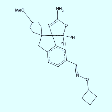 [2H]C1([2H])OC(N)=NC12c1cc(/C=N/OC3CCC3)ccc1CC21CCC(OC)CC1